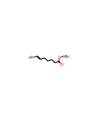 CCCC=CCCCCC(=O)OCCCC